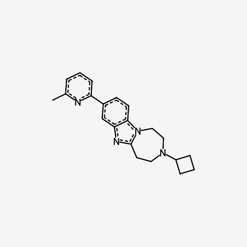 Cc1cccc(-c2ccc3c(c2)nc2n3CCN(C3CCC3)CC2)n1